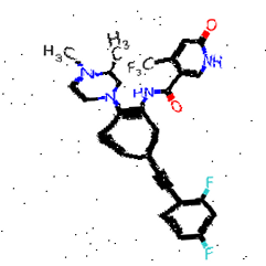 C[C@H]1CN(c2ccc(C#Cc3ccc(F)cc3F)cc2NC(=O)c2c[nH]c(=O)cc2C(F)(F)F)CCN1C